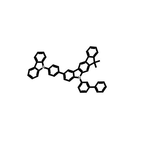 CC1(C)c2ccccc2-c2cc3c4cc(-c5ccc(-n6c7ccccc7c7ccccc76)cc5)ccc4n(-c4cccc(-c5ccccc5)c4)c3cc21